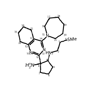 CSCCNC1CCCC1(N)c1nc2c(c(N3CCCCCC3)n1)CCCC2